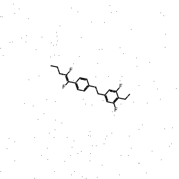 CCCC(F)=C(F)c1ccc(CCc2cc(F)c(CC)c(F)c2)cc1